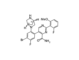 COc1cccc(F)c1-c1ncc(-c2cc(F)c(Br)cc2N2C[C@@H]3C[C@H]2CN3)c(C(N)=O)n1